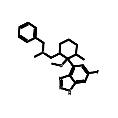 COC1(c2cc(F)cc3[nH]nnc23)C(C)CCCC1CN(C)Cc1ccccc1